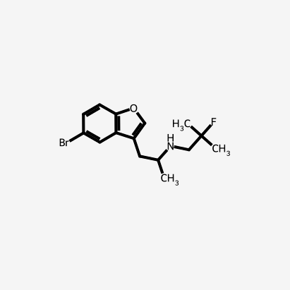 CC(Cc1coc2ccc(Br)cc12)NCC(C)(C)F